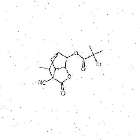 CCC(C)(C)C(=O)OC1C2CC3C1OC(=O)C3(C#N)C2C